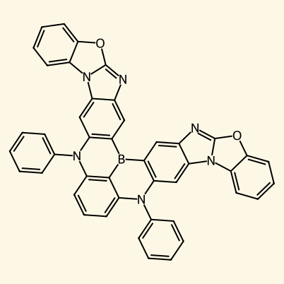 c1ccc(N2c3cc4c(cc3B3c5cc6nc7oc8ccccc8n7c6cc5N(c5ccccc5)c5cccc2c53)nc2oc3ccccc3n24)cc1